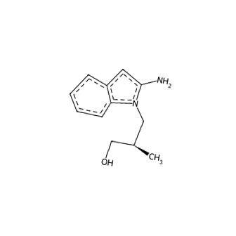 C[C@@H](CO)Cn1c(N)cc2ccccc21